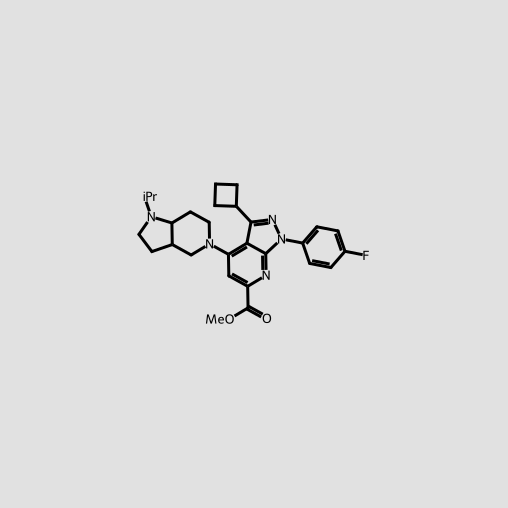 COC(=O)c1cc(N2CCC3C(CCN3C(C)C)C2)c2c(C3CCC3)nn(-c3ccc(F)cc3)c2n1